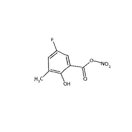 Cc1cc(F)cc(C(=O)O[N+](=O)[O-])c1O